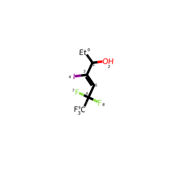 CCC(O)C(I)=CC(F)(F)C(F)(F)F